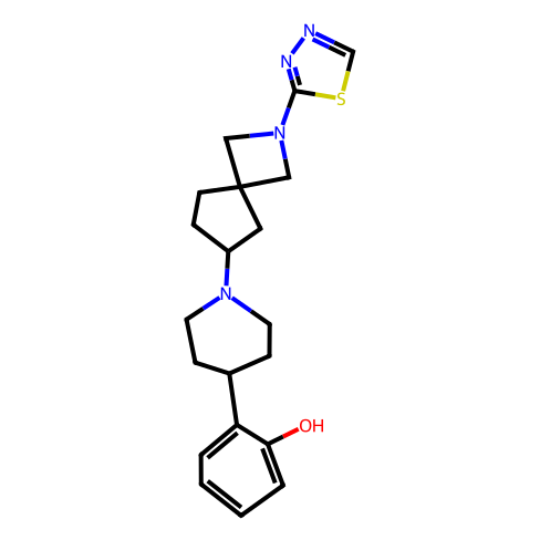 Oc1ccccc1C1CCN(C2CCC3(C2)CN(c2nncs2)C3)CC1